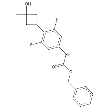 CC1(O)CC(c2c(F)cc(NC(=O)OCc3ccccc3)cc2F)C1